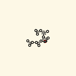 c1ccc(-c2nc(-c3cccc(-n4c5ccccc5c5ccccc54)c3)nc(-c3ccc(-n4c5ccccc5c5cc(-n6c7ccccc7c7cc(-c8ccc9c(c8)c8ccccc8n9-c8ccccc8)ccc76)ccc54)c(-n4c5ccccc5c5ccccc54)c3)n2)cc1